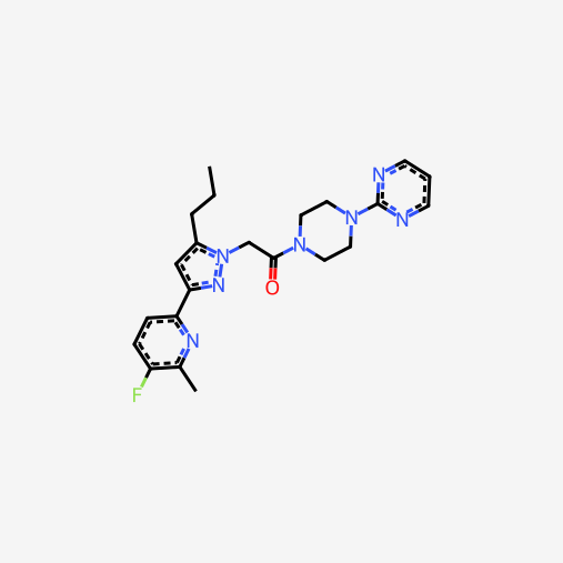 CCCc1cc(-c2ccc(F)c(C)n2)nn1CC(=O)N1CCN(c2ncccn2)CC1